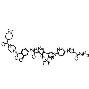 Cn1c(-c2cn(-c3ccc(NCCC(N)=O)cn3)nc2C(F)(F)F)cnc1C(=O)Nc1ccc(C(=O)N2CCN(C(=O)C3CC[N+](C)(C)CC3)CC2)c(Cl)c1